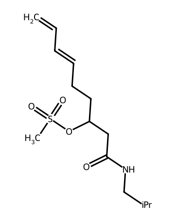 C=CC=CCCC(CC(=O)NCC(C)C)OS(C)(=O)=O